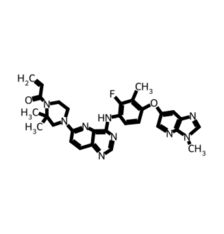 C=CC(=O)N1CCN(c2ccc3ncnc(Nc4ccc(Oc5cnc6c(c5)ncn6C)c(C)c4F)c3n2)CC1(C)C